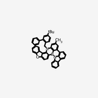 Cc1cc2c3c(c1)N(Cc1ccc(C(C)(C)C)cc1-c1ccccc1)c1c(ccc4oc5ccccc5c14)B3n1c3ccccc3c3cccc-2c31